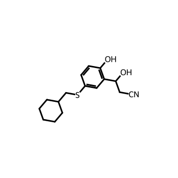 N#CCC(O)c1cc(SCC2CCCCC2)ccc1O